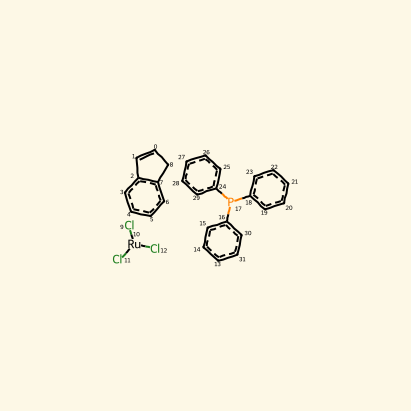 C1=Cc2ccccc2C1.[Cl][Ru]([Cl])[Cl].c1ccc(P(c2ccccc2)c2ccccc2)cc1